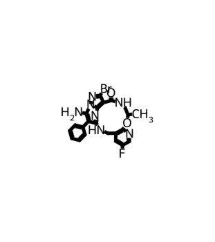 CC1CNC(=O)c2c(Br)nn3c(N)c(-c4ccccc4)c(nc23)NCc2cc(F)cnc2O1